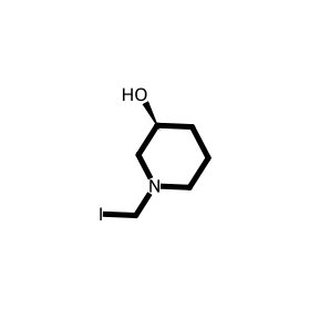 O[C@H]1CCCN(CI)C1